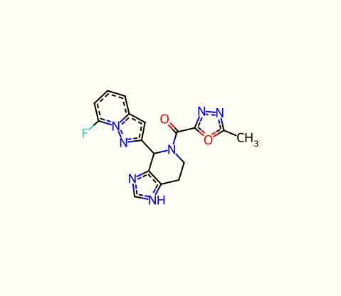 Cc1nnc(C(=O)N2CCc3[nH]cnc3C2c2cc3cccc(F)n3n2)o1